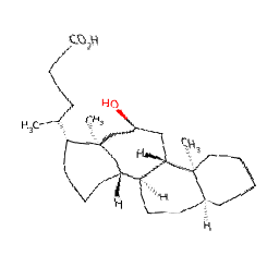 CC(CCC(=O)O)[C@H]1CC[C@H]2[C@@H]3CC[C@@H]4CCCC[C@]4(C)[C@H]3C[C@H](O)[C@]12C